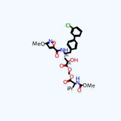 COC(=O)NC(C(=O)OCOC(=O)[C@H](O)C[C@@H](Cc1ccc(-c2cccc(Cl)c2)cc1)NC(=O)c1cc(OC)no1)C(C)C